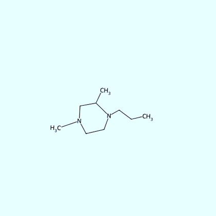 CCCN1CCN(C)CC1C